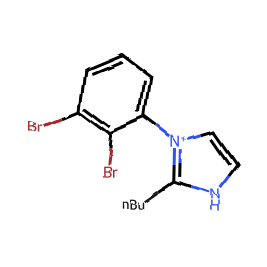 CCCCc1[nH]cc[n+]1-c1cccc(Br)c1Br